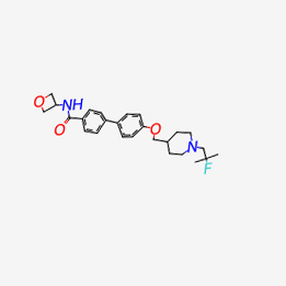 CC(C)(F)CN1CCC(COc2ccc(-c3ccc(C(=O)NC4COC4)cc3)cc2)CC1